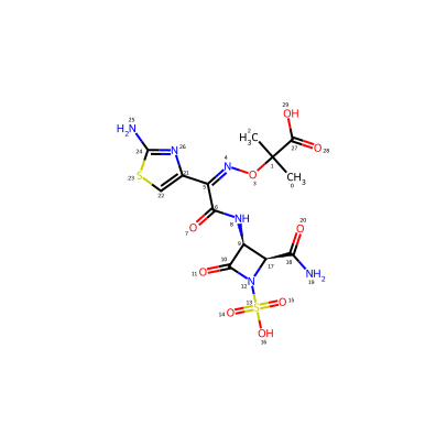 CC(C)(ON=C(C(=O)N[C@@H]1C(=O)N(S(=O)(=O)O)[C@@H]1C(N)=O)c1csc(N)n1)C(=O)O